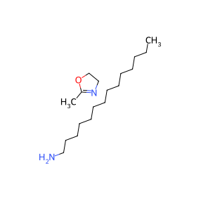 CC1=NCCO1.CCCCCCCCCCCCCCN